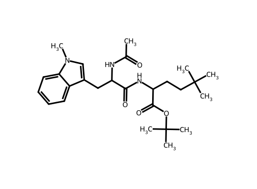 CC(=O)NC(Cc1cn(C)c2ccccc12)C(=O)NC(CCC(C)(C)C)C(=O)OC(C)(C)C